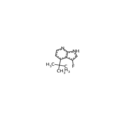 CC(C)(C)c1ccnc2[nH]cc(F)c12